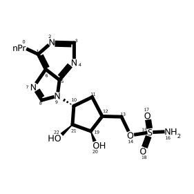 CCCc1ncnc2c1ncn2[C@@H]1CC(COS(N)(=O)=O)[C@@H](O)[C@H]1O